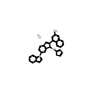 Cc1cc(C2=Cc3ccc(-n4ccc5ccccc54)cc3[CH]2[Zr+2][C]2=CC=CC2)c2ccccc2c1.[Cl-].[Cl-]